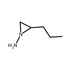 CCCC1CN1N